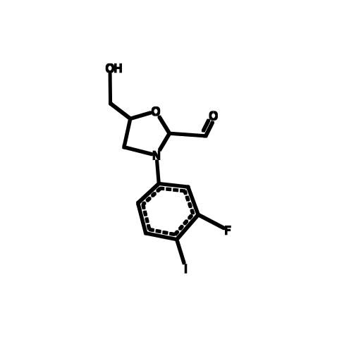 O=CC1OC(CO)CN1c1ccc(I)c(F)c1